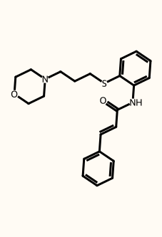 O=C(C=Cc1ccccc1)Nc1ccccc1SCCCN1CCOCC1